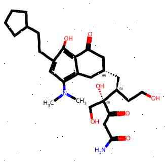 CN(C)c1cc(CCC2CCCC2)c(O)c2c1C[C@@H](C[C@@H](CCO)[C@](O)(CO)C(=O)CC(N)=O)CC2=O